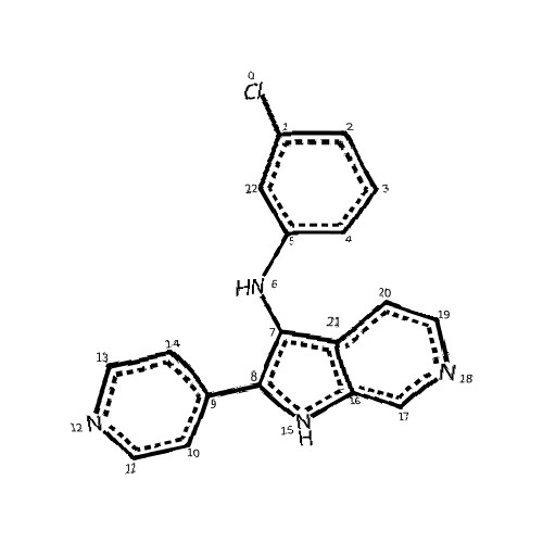 Clc1cccc(Nc2c(-c3ccncc3)[nH]c3cnccc23)c1